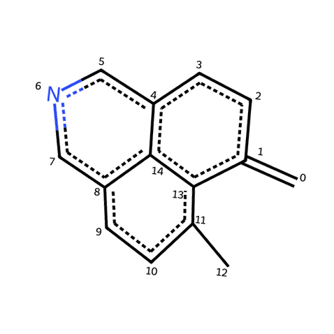 C=c1ccc2cncc3ccc(C)c1c32